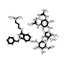 CN(C)CCCOc1nn(Cc2ccccc2)c2ccccc12.CN[C@@H]1[C@H](O[C@H]2[C@H](O[C@H]3[C@H](O)[C@@H](O)[C@H](NC(=N)N)[C@@H](O)[C@@H]3NC(=N)N)O[C@@H](C)[C@]2(O)C=O)O[C@@H](CO)[C@H](O)[C@H]1O